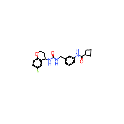 O=C(NCc1cccc(NC(=O)C2CCC2)c1)NC1CCOc2ccc(F)cc21